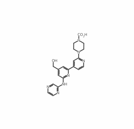 O=C(O)N1CCN(c2cc(-c3cc(CO)cc(Nc4cnccn4)n3)ccn2)CC1